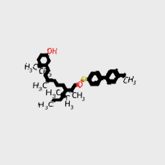 CCCC(C)(C)C(CCCC(C)CCC1C[C@H](O)CCC1(C)C)[C@H](C)COSc1ccc(-c2ccc(CC)cc2)cc1